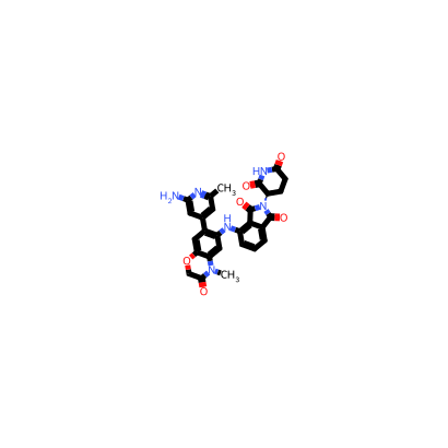 Cc1cc(-c2cc3c(cc2Nc2cccc4c2C(=O)N([C@H]2CCC(=O)NC2=O)C4=O)N(C)C(=O)CO3)cc(N)n1